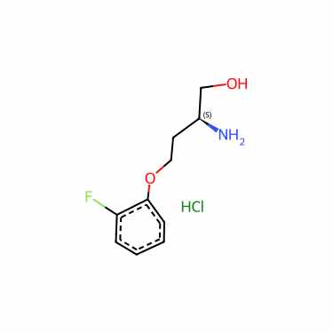 Cl.N[C@H](CO)CCOc1ccccc1F